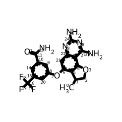 CC1COc2c1c(Oc1cc(C(N)=O)cc(C(F)(F)F)c1)cc1nc(N)nc(N)c21